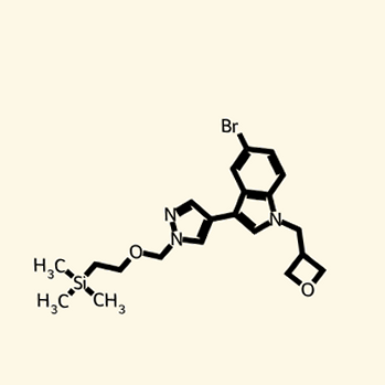 C[Si](C)(C)CCOCn1cc(-c2cn(CC3COC3)c3ccc(Br)cc23)cn1